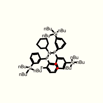 CCCC[Si](CCCC)(CCCC)c1cccc(P(c2cccc([Si](CCCC)(CCCC)CCCC)c2)N(C2CCCCC2)P(c2cccc([Si](CCCC)(CCCC)CCCC)c2)c2ccccc2F)c1